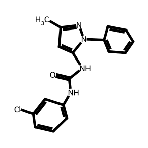 Cc1cc(NC(=O)Nc2cccc(Cl)c2)n(-c2ccccc2)n1